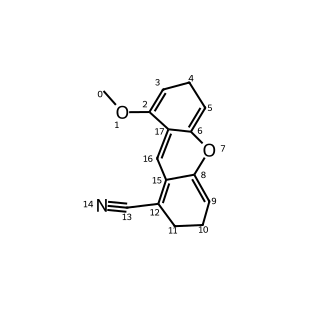 COC1=CCC=C2OC3=CCCC(C#N)=C3C=C12